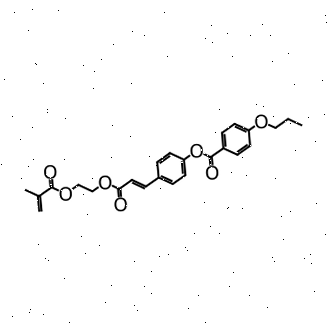 C=C(C)C(=O)OCCOC(=O)/C=C/c1ccc(OC(=O)c2ccc(OCCC)cc2)cc1